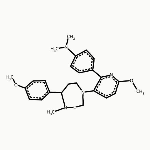 COc1ccc(C2CCN(c3ccc(OC)nc3-c3ccc(N(C)C)cc3)CCN2C)cc1